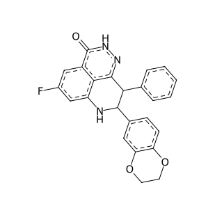 O=c1[nH]nc2c3c(cc(F)cc13)NC(c1ccc3c(c1)OCCO3)C2c1ccccc1